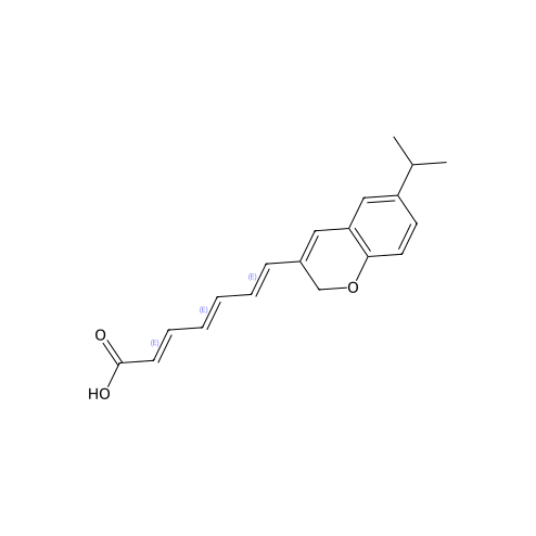 CC(C)c1ccc2c(c1)C=C(/C=C/C=C/C=C/C(=O)O)CO2